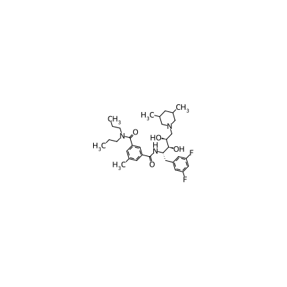 CCCN(CCC)C(=O)c1cc(C)cc(C(=O)N[C@@H](Cc2cc(F)cc(F)c2)[C@H](O)[C@@H](O)CN2CC(C)CC(C)C2)c1